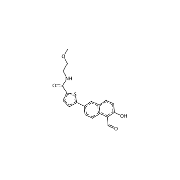 COCCNC(=O)c1ccc(-c2ccc3c(C=O)c(O)ccc3c2)s1